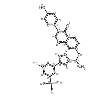 C[C@H](Oc1ccc2c(=O)c(-c3ccc(O)cc3)coc2c1)c1nc(-c2cc(F)cc(C(F)(F)F)c2)no1